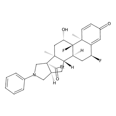 CCC(=O)[C@@]12CN(c3ccccc3)C[C@@H]1C[C@H]1[C@@H]3C[C@H](F)C4=CC(=O)C=C[C@]4(C)[C@@]3(F)[C@@H](O)C[C@@]12C